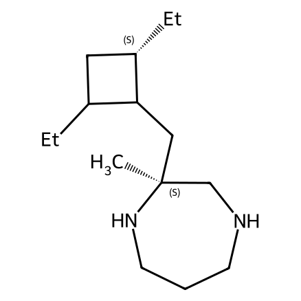 CCC1C[C@H](CC)C1C[C@@]1(C)CNCCCN1